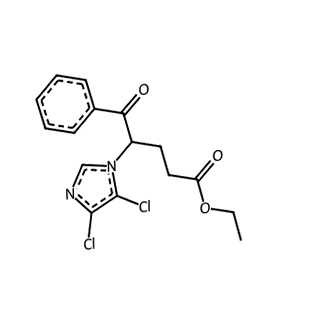 CCOC(=O)CCC(C(=O)c1ccccc1)n1cnc(Cl)c1Cl